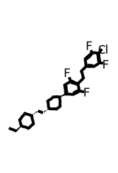 CC[C@H]1CC[C@H](CC[C@H]2CC[C@H](c3cc(F)c(CCc4cc(F)c(Cl)c(F)c4)c(F)c3)CC2)CC1